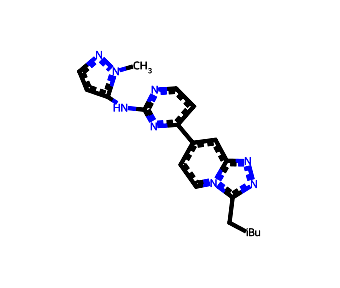 CCC(C)Cc1nnc2cc(-c3ccnc(Nc4ccnn4C)n3)ccn12